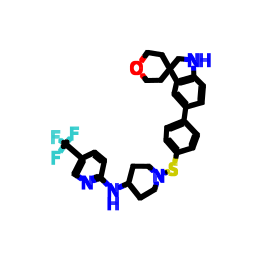 FC(F)(F)c1ccc(NC2CCN(Sc3ccc(-c4ccc5c(c4)C4(CCOCC4)CN5)cc3)CC2)nc1